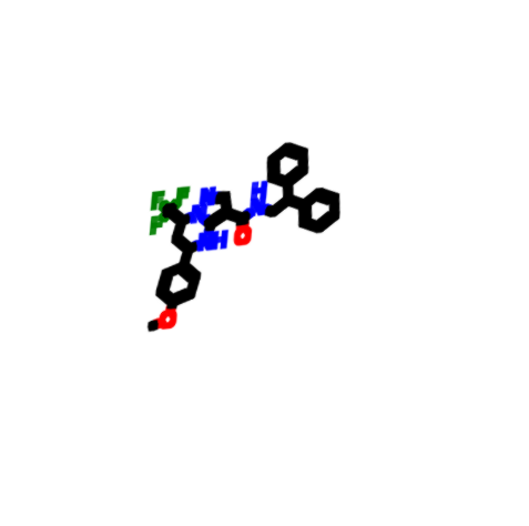 COc1ccc(C2CC(C(F)(F)F)n3ncc(C(=O)NCC(c4ccccc4)c4ccccc4)c3N2)cc1